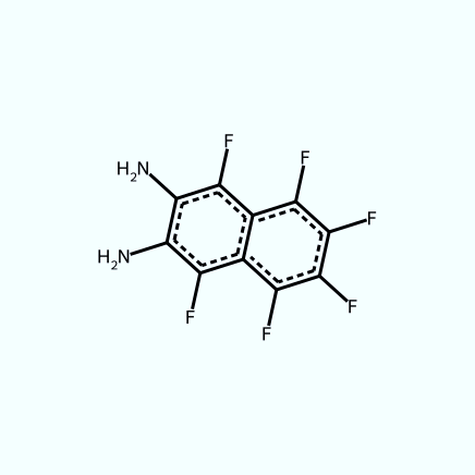 Nc1c(N)c(F)c2c(F)c(F)c(F)c(F)c2c1F